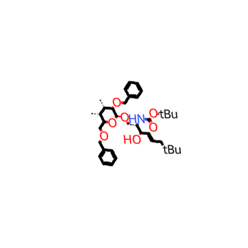 C[C@@H]1C(OCc2ccccc2)[C@@H](OC[C@H](NC(=O)OC(C)(C)C)[C@H](O)/C=C/CC(C)(C)C)OC(COCc2ccccc2)[C@@H]1C